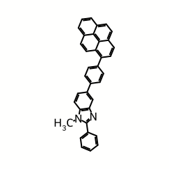 Cn1c(-c2ccccc2)nc2cc(-c3ccc(-c4ccc5ccc6cccc7ccc4c5c67)cc3)ccc21